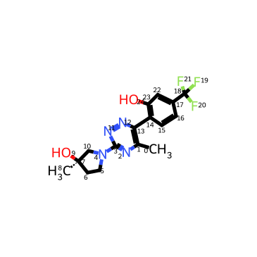 Cc1nc(N2CC[C@@](C)(O)C2)nnc1-c1ccc(C(F)(F)F)cc1O